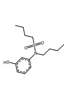 CCCCN(c1cccc(O)c1)S(=O)(=O)CCCC